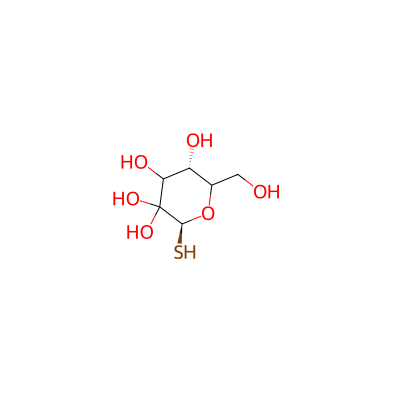 OCC1O[C@@H](S)C(O)(O)C(O)[C@@H]1O